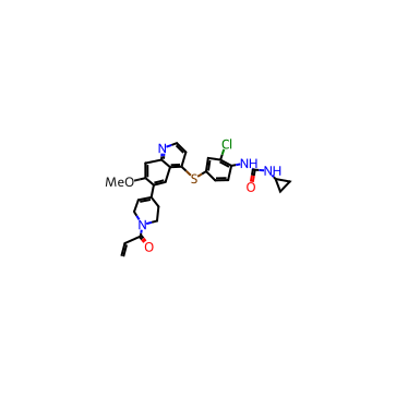 C=CC(=O)N1CC=C(c2cc3c(Sc4ccc(NC(=O)NC5CC5)c(Cl)c4)ccnc3cc2OC)CC1